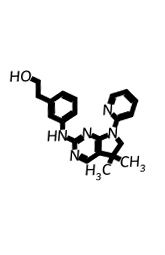 CC1(C)CN(c2ccccn2)c2nc(Nc3cccc(CCO)c3)ncc21